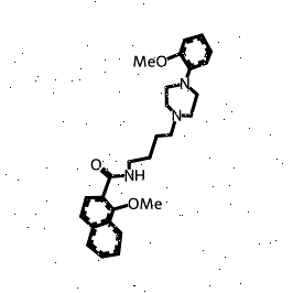 COc1ccccc1N1CCN(CCCCNC(=O)c2ccc3ccccc3c2OC)CC1